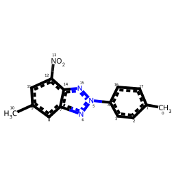 Cc1ccc(-n2nc3cc(C)cc([N+](=O)[O-])c3n2)cc1